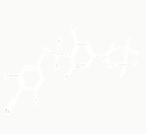 CC1(C)OB(c2cc(F)c(C(F)(F)Oc3cc(F)c(C#N)c(F)c3)c(F)c2)OC1(C)C